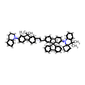 CC1(C)C2=C(CCC=C2)N(C2=CC3C(C=C2)c2ccc(/C=C/c4ccc5c(c4)C(C)(C)c4cc(N6CCCc7ccccc76)ccc4-5)cc2C32c3ccccc3-c3ccccc32)c2ccccc21